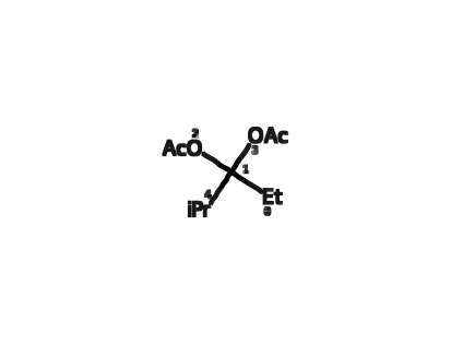 CCC(OC(C)=O)(OC(C)=O)C(C)C